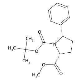 COC(=O)[C@H]1CC[C@@H](c2ccccc2)N1C(=O)OC(C)(C)C